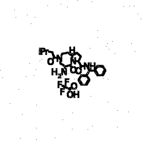 CC(C)CC(=O)N1CC[C@H]2CCC(C(=O)NC(c3ccccc3)c3ccccc3)N2C(=O)[C@@H](N)C1.O=C(O)C(F)(F)F